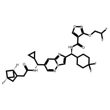 O=C(CC1C[C@]2(F)C[C@H]1C2)N[C@@H](c1cnn2cc([C@@H](NC(=O)c3conc3OCC(F)F)C3CCC(F)(F)CC3)nc2c1)C1CC1